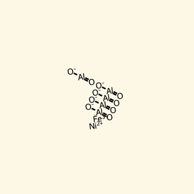 [Fe+3].[Ni+2].[O]=[Al][O-].[O]=[Al][O-].[O]=[Al][O-].[O]=[Al][O-].[O]=[Al][O-]